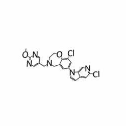 COc1ncc(CN2CCOc3c(Cl)cc(-n4ccc5cc(Cl)ncc54)cc3C2)cn1